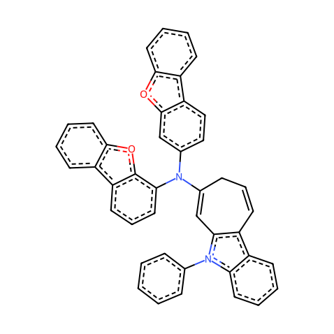 C1=Cc2c(n(-c3ccccc3)c3ccccc23)C=C(N(c2ccc3c(c2)oc2ccccc23)c2cccc3c2oc2ccccc23)C1